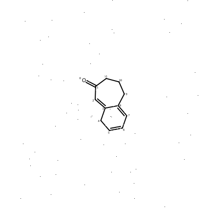 O=C1C=C2CC=CC=C2CCC1